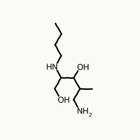 CCCCNC(CO)C(O)C(C)CN